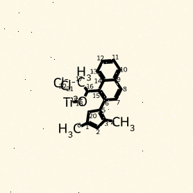 CC1=CC(C)=C(c2ccc3ccccc3c2C(C)[O][Ti+2])C1.[Cl-].[Cl-]